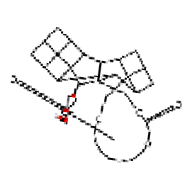 O=C1CCC2(CCCCCCCCCOC1)C13C4CC1C1C5C6CC7CC8C9C(C3C4)C12C1(CCCCCCCCCOCC(=O)CC1)C59C768